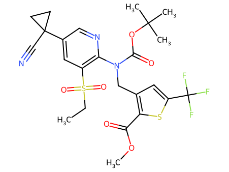 CCS(=O)(=O)c1cc(C2(C#N)CC2)cnc1N(Cc1cc(C(F)(F)F)sc1C(=O)OC)C(=O)OC(C)(C)C